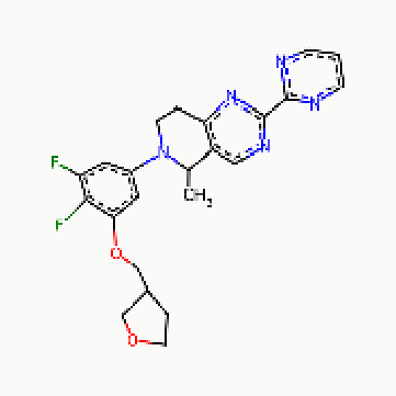 CC1c2cnc(-c3ncccn3)nc2CCN1c1cc(F)c(F)c(OCC2CCOC2)c1